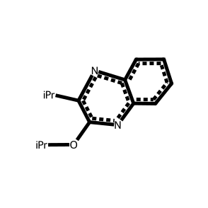 CC(C)Oc1nc2ccccc2nc1C(C)C